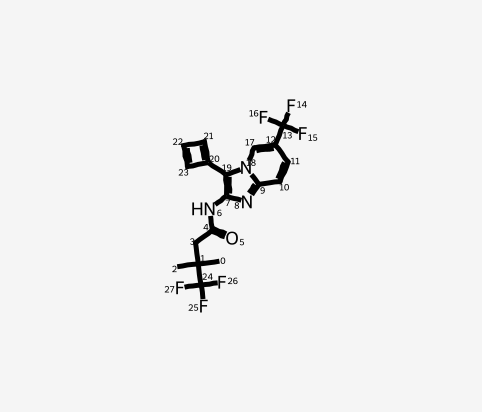 CC(C)(CC(=O)Nc1nc2ccc(C(F)(F)F)cn2c1C1=CC=C1)C(F)(F)F